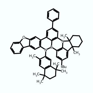 Cc1cc2c(cc1N1B3c4cc(C(C)(C)C)cc5c4N(c4cc(-c6ccccc6)cc(c43)-c3cc4oc6ccccc6c4cc31)C1(C)CCCCC51C)C(C)(C)CCC2(C)C